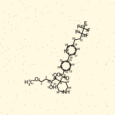 COCCN(O)C(=O)C1(S(=O)(=O)c2ccc(-c3ccc(CCC(F)(F)C(F)(F)F)cn3)cc2)CCNCC1